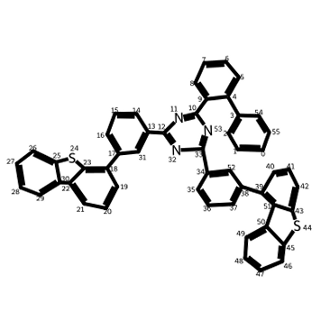 c1ccc(-c2ccccc2-c2nc(-c3cccc(-c4cccc5c4sc4ccccc45)c3)nc(-c3cccc(-c4cccc5sc6ccccc6c45)c3)n2)cc1